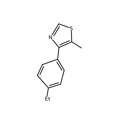 CCc1ccc(-c2n[c]sc2C)cc1